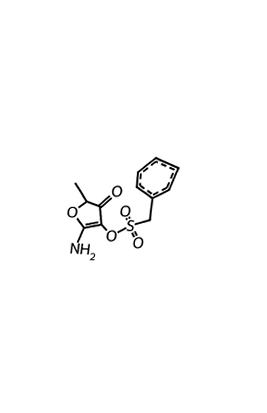 CC1OC(N)=C(OS(=O)(=O)Cc2ccccc2)C1=O